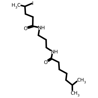 CC(C)CCCCC(=O)NCCCNC(=O)CCC(C)I